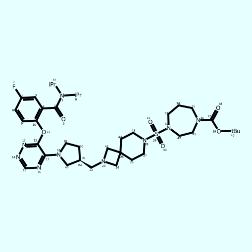 CC(C)N(C(=O)c1cc(F)ccc1Oc1nncnc1N1CC[C@@H](CN2CC3(CCN(S(=O)(=O)N4CCCN(C(=O)OC(C)(C)C)CC4)CC3)C2)C1)C(C)C